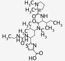 CCNC(=O)NC(CC(C(C)C)N(C)C(=O)C(NC(=O)[C@@]1(C)CCCN1C)C(C)CC)c1nc(C(=O)O)cs1